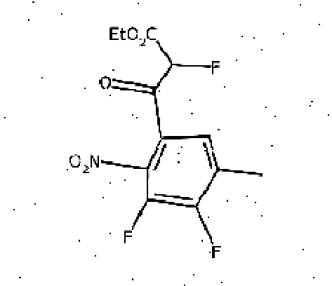 CCOC(=O)C(F)C(=O)c1cc(C)c(F)c(F)c1[N+](=O)[O-]